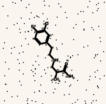 C[C@@H](CNC[CH]c1ccc(F)c(Cl)c1)C(N)=O